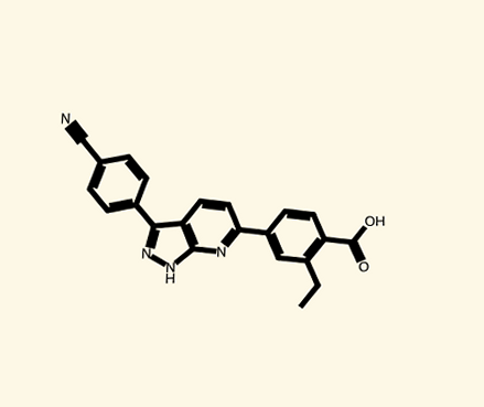 CCc1cc(-c2ccc3c(-c4ccc(C#N)cc4)n[nH]c3n2)ccc1C(=O)O